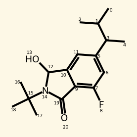 CC(C)C(C)c1cc(F)c2c(c1)C(O)N(C(C)(C)C)C2=O